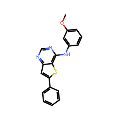 COc1cccc(Nc2ncnc3cc(-c4ccccc4)sc23)c1